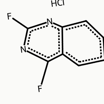 Cl.Fc1nc(F)c2ccccc2n1